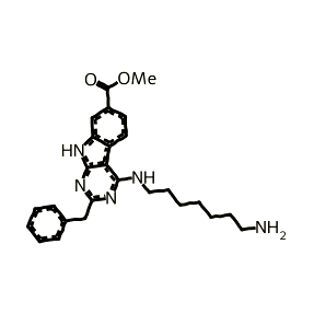 COC(=O)c1ccc2c(c1)[nH]c1nc(Cc3ccccc3)nc(NCCCCCCCN)c12